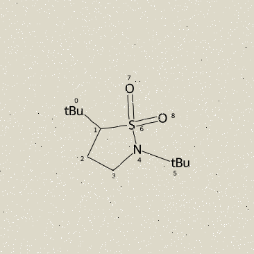 CC(C)(C)C1CCN(C(C)(C)C)S1(=O)=O